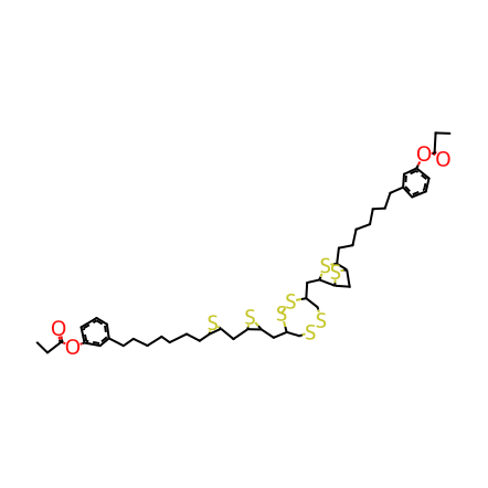 CCC(=O)Oc1cccc(CCCCCCCC2SC2CC2SC2CC2CSSCC(CC3SC(CCCCCCCc4cccc(OC(=O)CC)c4)C4CC3S4)SS2)c1